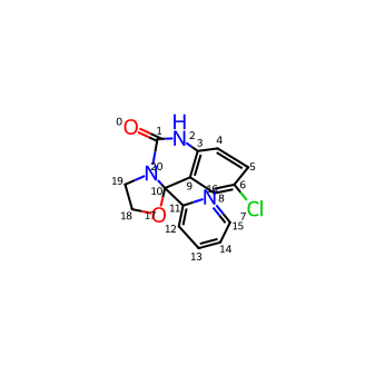 O=C1Nc2ccc(Cl)cc2C2(c3ccccn3)OCCN12